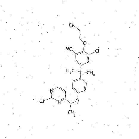 CC(Oc1ccc(C(C)(C)c2cc(Cl)c(OCCCl)c(C#N)c2)cc1)c1ccnc(Cl)n1